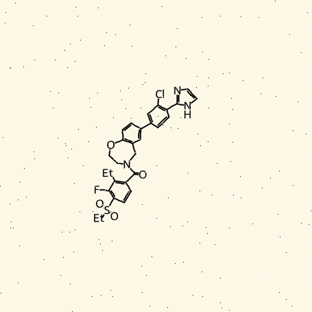 CCc1c(C(=O)N2CCOc3ccc(-c4ccc(-c5ncc[nH]5)c(Cl)c4)cc3C2)ccc(S(=O)(=O)CC)c1F